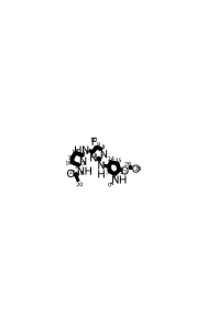 CNc1cc(Nc2ncc(F)c(Nc3cccc(NC(C)=O)n3)n2)ccc1OC=O